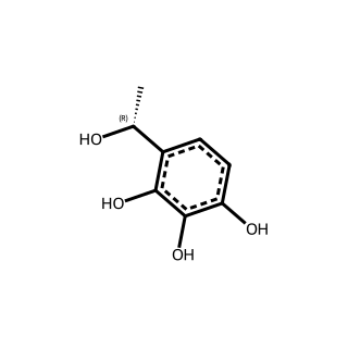 C[C@@H](O)c1ccc(O)c(O)c1O